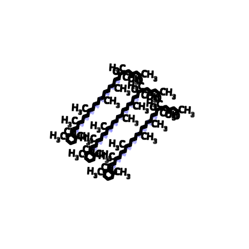 CC(=O)CC(O)CC(C)(C)C(=O)/C=C/C(C)=C/C=C/C(C)=C/C=C/C=C(C)/C=C/C=C(C)/C=C/C1=C(C)CCCC1(C)C.CC(=O)CC(O)CC(C)(C)C(=O)/C=C/C(C)=C/C=C/C(C)=C/C=C/C=C(C)/C=C/C=C(C)/C=C/C1=C(C)CCCC1(C)C.CC(=O)CC(O)CC(C)(C)C(=O)/C=C/C(C)=C/C=C/C(C)=C/C=C/C=C(C)/C=C/C=C(C)/C=C/C1=C(C)CCCC1(C)C